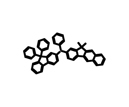 CC1(C)c2cc(N(c3ccccc3)c3ccc4c(c3)C(c3ccccc3)(c3ccccc3)c3ccccc3-4)ccc2-c2cc3ccccc3cc21